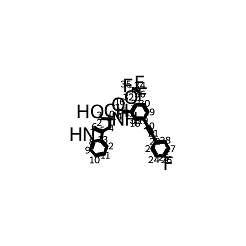 CC(CO)(Cc1c[nH]c2ccccc12)NC(=O)c1cc(C#Cc2ccc(F)cc2)ccc1OC(F)(F)F